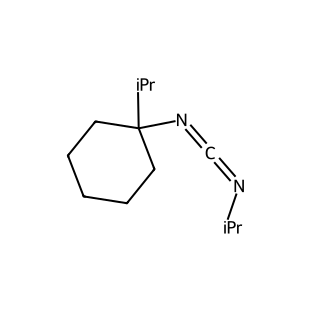 CC(C)N=C=NC1(C(C)C)CCCCC1